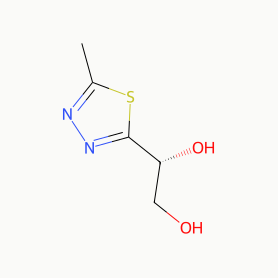 Cc1nnc([C@H](O)CO)s1